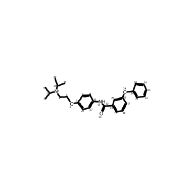 CC(C)N(CCOc1ccc(NC(=O)c2cccc(Oc3ccccc3)c2)cc1)C(C)C